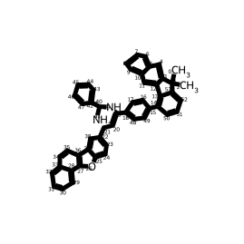 CC1(C)c2cc3ccccc3cc2-c2c(-c3ccc(/C(=C/Cc4ccc5oc6c7ccccc7ccc6c5c4)NC(N)c4ccccc4)cc3)cccc21